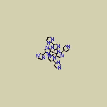 c1cnc(-c2cncc([Si](c3cncc(-c4cnccn4)n3)(c3ccnc(-c4ccncc4)n3)c3nccc(-c4ccncn4)n3)n2)nc1